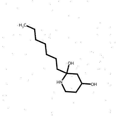 CCCCCCCC1(O)CC(O)CCN1